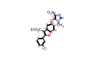 CCOC(=O)c1c(-c2cccc(Cl)c2)oc2ccc(Oc3c([N+](=O)[O-])ncn3C)cc12